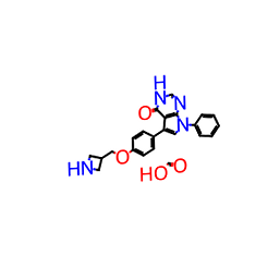 O=CO.O=c1[nH]cnc2c1c(-c1ccc(OCC3CNC3)cc1)cn2-c1ccccc1